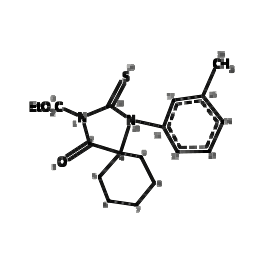 CCOC(=O)N1C(=O)C2(CCCCC2)N(c2cccc(C)c2)C1=S